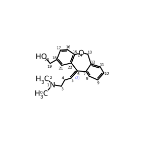 CN(C)CC/C=C1/c2ccccc2COc2ccc(CO)cc21